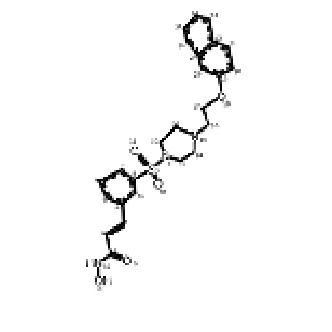 O=C(/C=C/c1cccc(S(=O)(=O)N2CCN(CCOc3ccc4ccccc4c3)CC2)c1)NO